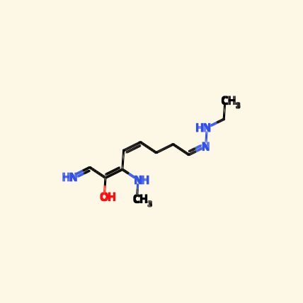 CCN/N=C\CC/C=C\C(NC)=C(\O)C=N